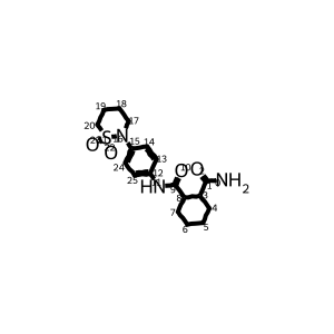 NC(=O)C1CCCCC1C(=O)Nc1ccc(N2CCCCS2(=O)=O)cc1